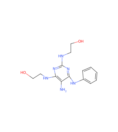 Nc1c(NCCO)nc(NCCO)nc1Nc1ccccc1